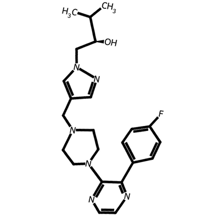 CC(C)[C@@H](O)Cn1cc(CN2CCN(c3nccnc3-c3ccc(F)cc3)CC2)cn1